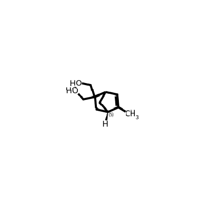 CC1=CC2C[C@H]1CC2(CO)CO